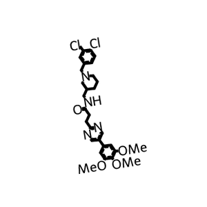 COc1cc(-c2cnc(CCC(=O)NCC3CCCN(Cc4ccc(Cl)c(Cl)c4)C3)nc2)cc(OC)c1OC